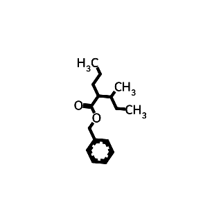 CCCC(C(=O)OCc1ccccc1)C(C)CC